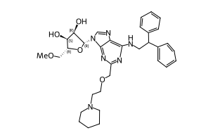 COC[C@H]1O[C@@H](n2cnc3c(NCC(c4ccccc4)c4ccccc4)nc(COCCN4CCCCC4)nc32)[C@H](O)[C@@H]1O